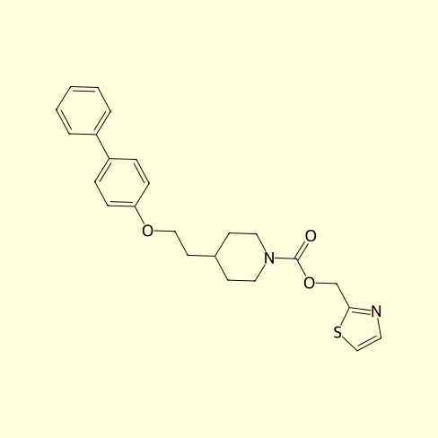 O=C(OCc1nccs1)N1CCC(CCOc2ccc(-c3ccccc3)cc2)CC1